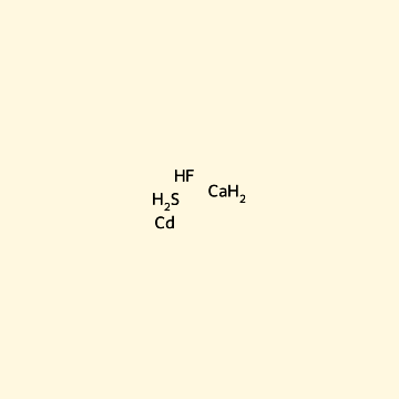 F.S.[CaH2].[Cd]